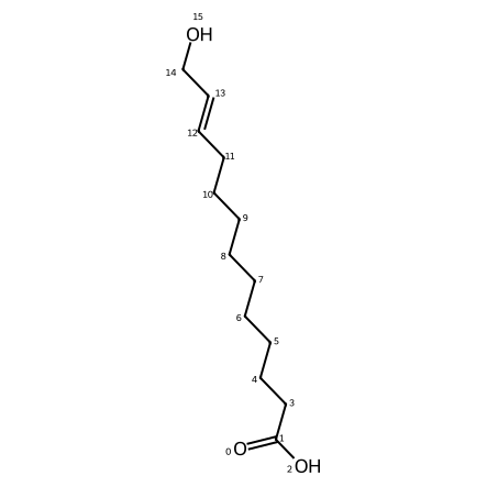 O=C(O)CCCCCCCCCC=CCO